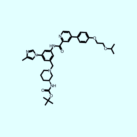 Cc1cn(-c2cc(CN3CCC[C@H](NC(=O)OC(C)(C)C)C3)cc(NC(=O)c3cc(-c4ccc(OCCOC(C)C)cc4)ccn3)c2)cn1